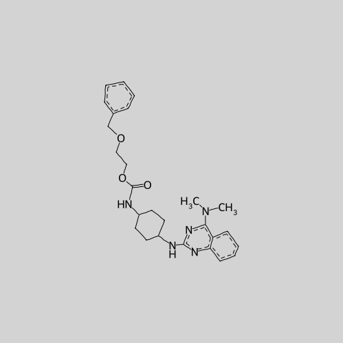 CN(C)c1nc(NC2CCC(NC(=O)OCCOCc3ccccc3)CC2)nc2ccccc12